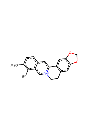 COc1ccc2cc3[n+](cc2c1C(C)C)CCc1cc2c(cc1-3)OCO2